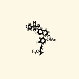 COc1cc(C#CC2(C(F)(F)F)CC2)c(F)cc1-n1c(=O)ccc2cc(S(=O)(=O)Nc3ccon3)ccc21